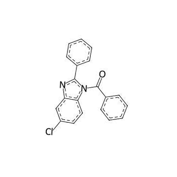 O=C(c1ccccc1)n1c(-c2ccccc2)nc2cc(Cl)ccc21